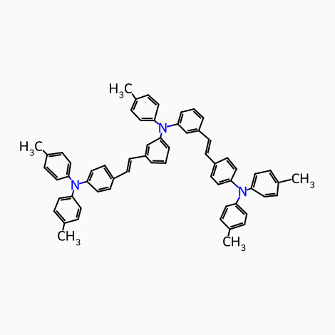 Cc1ccc(N(c2ccc(C)cc2)c2ccc(/C=C/c3cccc(N(c4ccc(C)cc4)c4cccc(/C=C/c5ccc(N(c6ccc(C)cc6)c6ccc(C)cc6)cc5)c4)c3)cc2)cc1